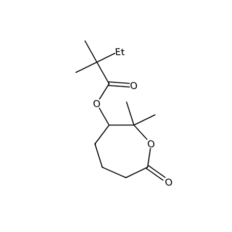 CCC(C)(C)C(=O)OC1CCCC(=O)OC1(C)C